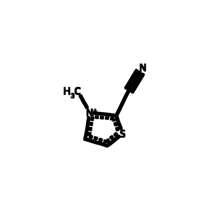 C[n+]1ccsc1C#N